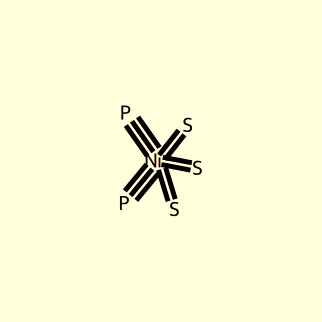 [P]#[Ni](#[P])(=[S])(=[S])=[S]